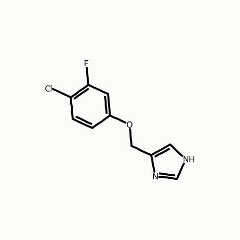 Fc1cc(OCc2c[nH]cn2)ccc1Cl